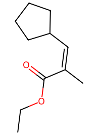 CCOC(=O)C(C)=CC1CCCC1